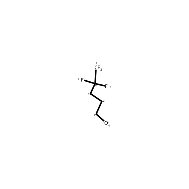 [O]CCCC(F)(F)C(F)(F)F